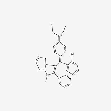 CC[N+](CC)=C1C=CC(=C(c2ccccc2Cl)c2c(-c3ccccc3)n(C)c3ccccc23)C=C1